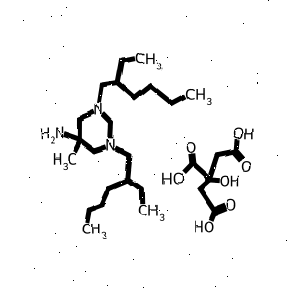 CCCCC(CC)CN1CN(CC(CC)CCCC)CC(C)(N)C1.O=C(O)CC(O)(CC(=O)O)C(=O)O